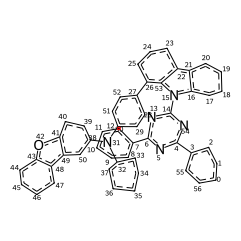 c1ccc(-c2nc(-c3ccccc3)nc(-n3c4ccccc4c4cccc(-c5ccc(N(c6ccccc6)c6ccc7oc8ccccc8c7c6)cc5)c43)n2)cc1